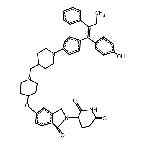 CC/C(=C(\c1ccc(O)cc1)c1ccc(N2CCC(CN3CCC(Oc4ccc5c(c4)CN(C4CCC(=O)NC4=O)C5=O)CC3)CC2)cc1)c1ccccc1